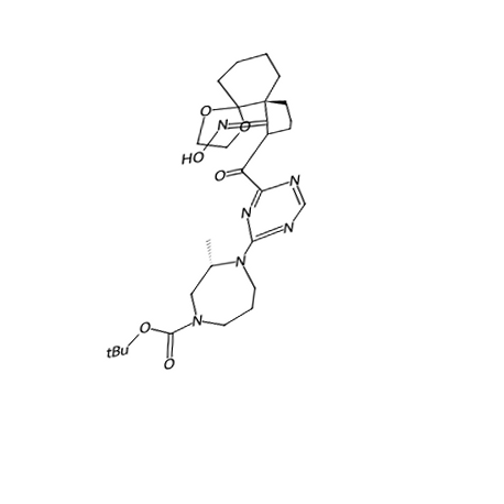 C[C@H]1CN(C(=O)OC(C)(C)C)CCCN1c1ncnc(C(=O)C2CCC[C@@]3(CCCCC34OCCO4)/C2=N/O)n1